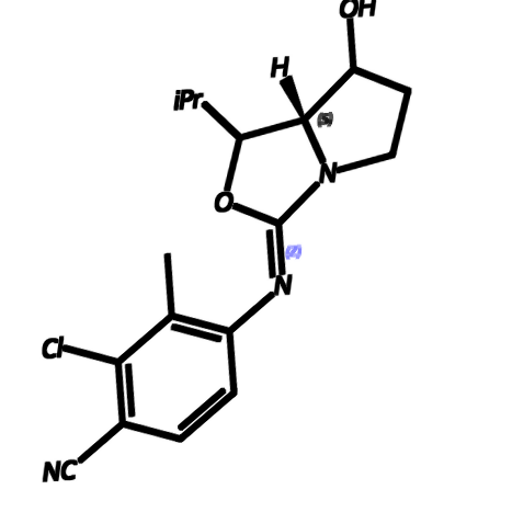 Cc1c(/N=C2\OC(C(C)C)[C@@H]3C(O)CCN23)ccc(C#N)c1Cl